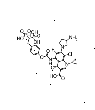 NC1CCN(c2c(F)c(NC(=O)Oc3ccc(CC(P(=O)(O)O)P(=O)(O)O)cc3)c3c(=O)c(C(=O)O)cn(C4CC4)c3c2Cl)C1